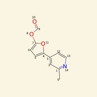 Cc1cc(-c2ccc(OC=O)o2)ccn1